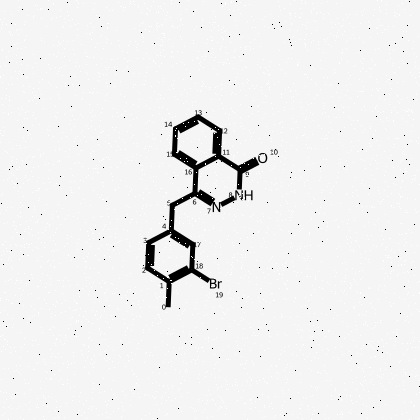 Cc1ccc(Cc2n[nH]c(=O)c3ccccc23)cc1Br